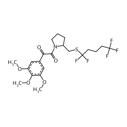 COc1cc(C(=O)C(=O)N2CCCC2CSC(F)(F)CCCC(F)(F)F)cc(OC)c1OC